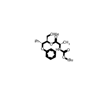 COC[C@@H](OC(=O)[C@H](C)NC(=O)OC(C)(C)C)[C@H](Oc1ccccc1)C(C)C